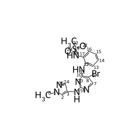 Cn1cc(Nc2ncc(Br)c(Nc3ccccc3NS(C)(=O)=O)n2)cn1